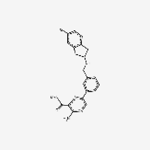 CNC(=O)c1nc(-c2cccc(CNC3Cc4ccc(Br)cc4C3)c2)cnc1N